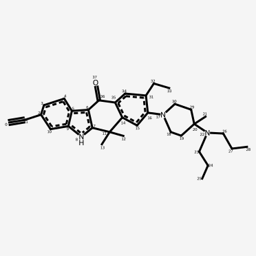 C#Cc1ccc2c3c([nH]c2c1)C(C)(C)c1cc(N2CCC(C)(N(CCC)CCC)CC2)c(CC)cc1C3=O